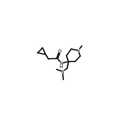 CN(C)CC1(NC(=O)CC2CC2)CCN(C)CC1